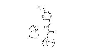 C1C2CC3CC1CC(C2)C3.Cc1ccc(CNC(=O)CC23CC4CC(CC(C4)C2)C3)cc1